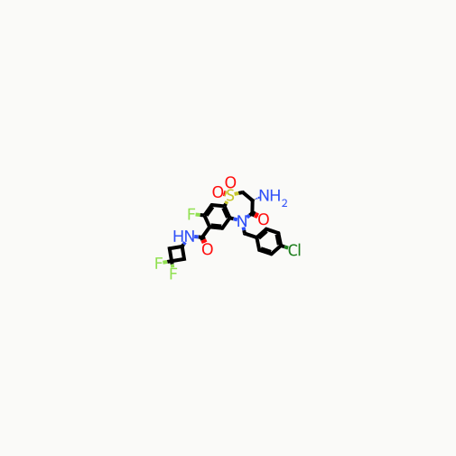 N[C@H]1CS(=O)(=O)c2cc(F)c(C(=O)NC3CC(F)(F)C3)cc2N(Cc2ccc(Cl)cc2)C1=O